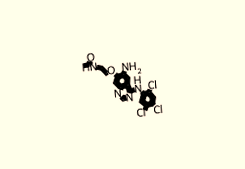 CC(=O)NCCOc1cc2ncnc(Nc3cc(Cl)c(Cl)cc3Cl)c2cc1N